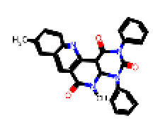 Cc1ccc2nc3c(cc2c1)C(=O)N(C)C1C3C(=O)N(c2ccccc2)C(=O)N1c1ccccc1